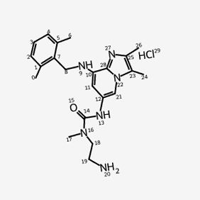 Cc1cccc(C)c1CNc1cc(NC(=O)N(C)CCN)cn2c(C)c(C)nc12.Cl